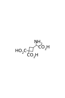 NC(C(=O)O)C1CC(C(=O)O)(C(=O)O)C1